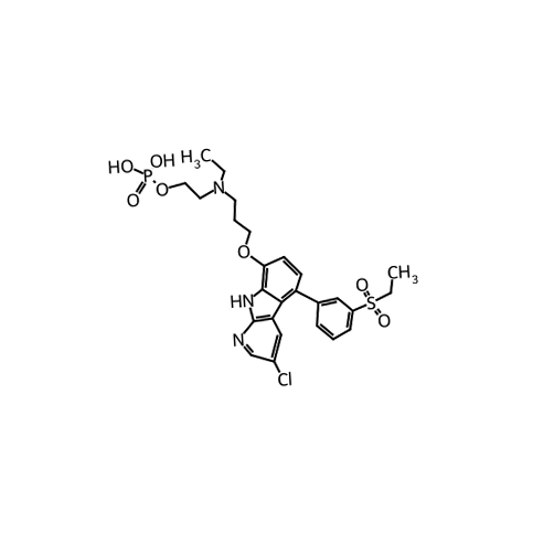 CCN(CCCOc1ccc(-c2cccc(S(=O)(=O)CC)c2)c2c1[nH]c1ncc(Cl)cc12)CCOP(=O)(O)O